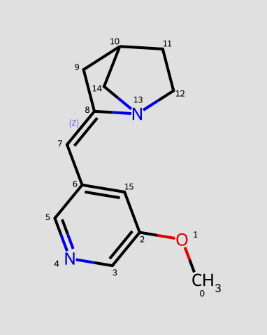 COc1cncc(/C=C2/CC3CCN2C3)c1